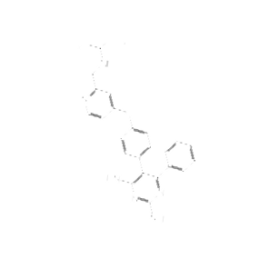 CC(C)NCc1cc(Oc2ccc(-c3c(N)nc(N)nc3-c3ccccc3)cc2)ccn1